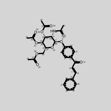 CC(=O)N[C@@H]1[C@@H](Oc2ccc(C(=O)/C=C/c3ccccc3)cc2)O[C@@H](COC(C)=O)[C@@H](OC(C)=O)[C@@H]1OC(C)=O